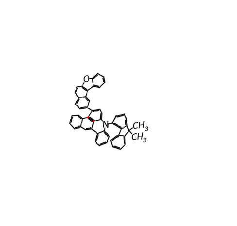 CC1(C)c2ccccc2-c2c(N(c3ccc(-c4ccc5ccc6oc7ccccc7c6c5c4)cc3)c3ccccc3-c3ccc4ccccc4c3)cccc21